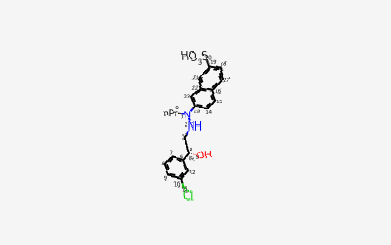 CCCN(NC[C@H](O)c1cccc(Cl)c1)c1ccc2ccc(S(=O)(=O)O)cc2c1